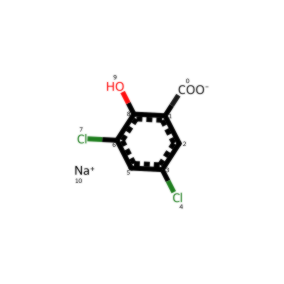 O=C([O-])c1cc(Cl)cc(Cl)c1O.[Na+]